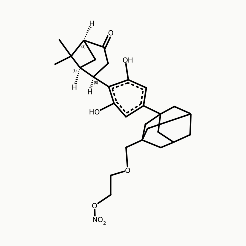 CC1(C)[C@@H]2C[C@H]1[C@H](c1c(O)cc(C34CC5CC(CC(COCCO[N+](=O)[O-])(C5)C3)C4)cc1O)CC2=O